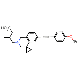 CC(CC(=O)O)CN1Cc2ccc(C#Cc3ccc(OC(C)C)cc3)cc2C2(CC2)C1